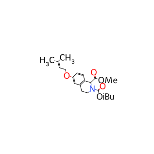 COC(=O)C1c2ccc(OCC=C(C)C)cc2CCN1C(=O)OCC(C)C